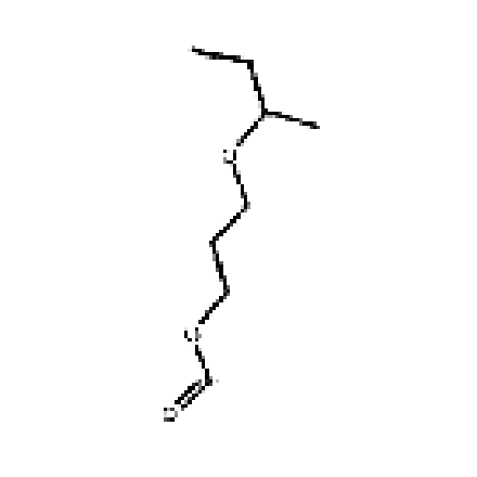 CCC(C)OCCCO[C]=O